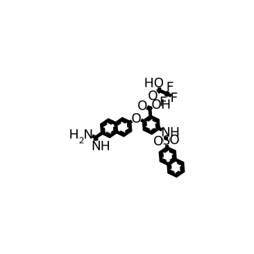 N=C(N)c1ccc2cc(Oc3ccc(NS(=O)(=O)c4ccc5ccccc5c4)cc3C(=O)O)ccc2c1.O=C(O)C(F)(F)F